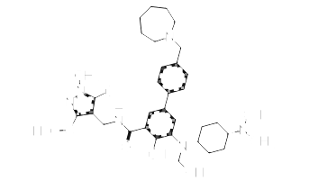 CCN(c1cc(-c2ccc(CN3CCCCCC3)cc2)cc(C(=O)NCc2c(OC)nn(C)c2C)c1C)[C@H]1CC[C@H](N(C)C)CC1